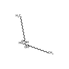 CCCCCCCCCCCCCC=CC(O)C(CO)NC(=O)CCCCCCCCCCCCCCCC